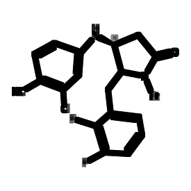 CCN1C(=O)C[C@H](Nc2ccc(C#N)c(Cl)c2)C1Cc1cccc(F)c1F